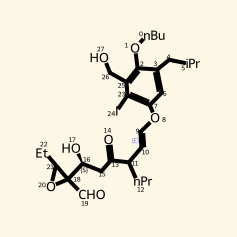 CCCCOc1c(CC(C)C)cc(O/C=C/C(CCC)C(=O)C[C@H](O)C2(C=O)OC2CC)c(I)c1CO